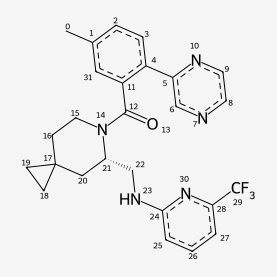 Cc1ccc(-c2cnccn2)c(C(=O)N2CCC3(CC3)C[C@H]2CNc2cccc(C(F)(F)F)n2)c1